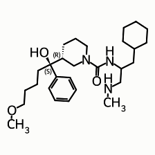 CNCC(CC1CCCCC1)NC(=O)N1CCC[C@@H]([C@@](O)(CCCCOC)c2ccccc2)C1